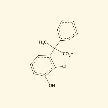 CC(C(=O)O)(c1ccccc1)c1cccc(O)c1Cl